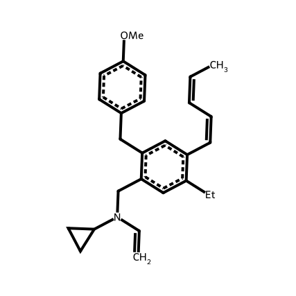 C=CN(Cc1cc(CC)c(/C=C\C=C/C)cc1Cc1ccc(OC)cc1)C1CC1